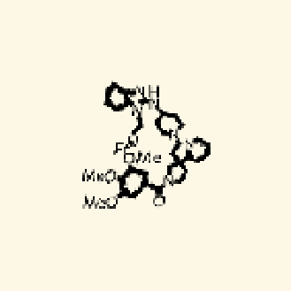 CCOCCn1c(NC2CCN(CCC3(c4ccccn4)CCN(C(=O)c4cc(OC)c(OC)c(OC)c4)C3)CC2)nc2ccccc21